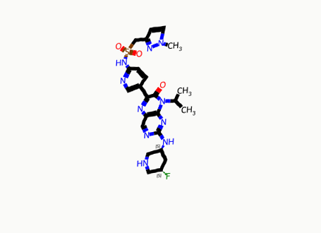 CC(C)n1c(=O)c(-c2ccc(NS(=O)(=O)Cc3ccn(C)n3)nc2)nc2cnc(N[C@@H]3CNC[C@@H](F)C3)nc21